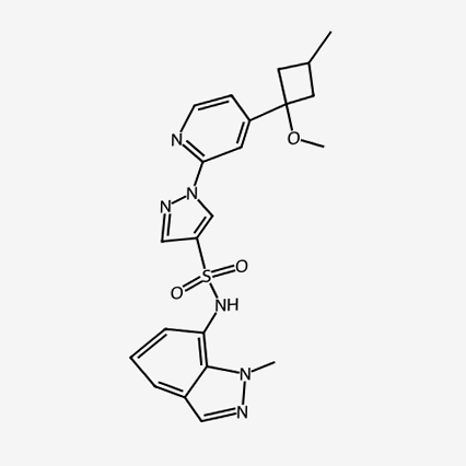 COC1(c2ccnc(-n3cc(S(=O)(=O)Nc4cccc5cnn(C)c45)cn3)c2)CC(C)C1